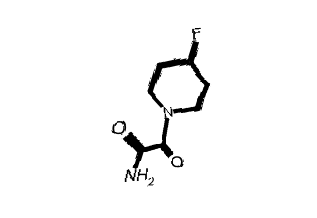 NC(=O)C(=O)N1CCC(F)CC1